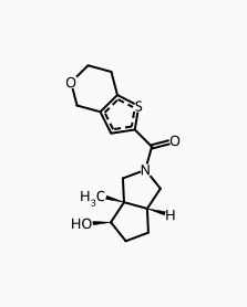 C[C@@]12CN(C(=O)c3cc4c(s3)CCOC4)C[C@@H]1CC[C@H]2O